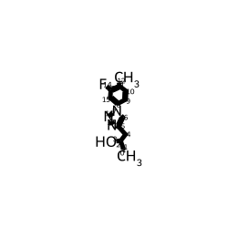 CCC(O)Cc1cn(-c2ccc(C)c(F)c2)nn1